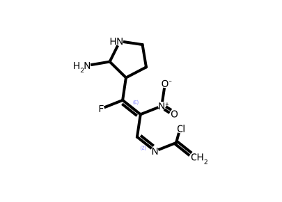 C=C(Cl)/N=C\C(=C(/F)C1CCNC1N)[N+](=O)[O-]